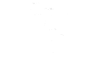 CCOC(=O)C1=CN(C(=O)c2ccc(F)c(C)c2)CC(C)(C)c2c1[nH]c1cnccc21